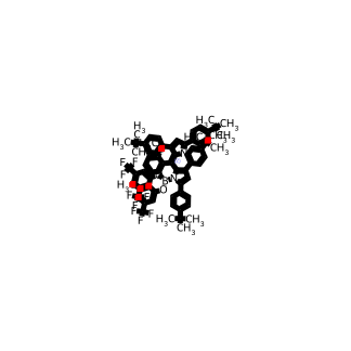 COc1ccccc1/C(=C1/N=C(c2ccc(C(C)(C)C)cc2)C=C1c1ccc(C(C)(C)C)cc1)c1c(-c2ccc(C(C)(C)C)cc2)cc(-c2ccc(C(C)(C)C)cc2)n1B(Oc1cc(C)cc(C(F)(F)F)c1)Oc1cc(C(F)(F)F)cc(C(F)(F)F)c1